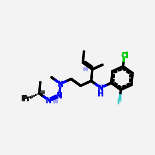 C/C=C(\C)C(CCN(C)/N=N\[C@@H](C)C(C)C)Nc1cc(Cl)ccc1F